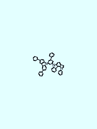 c1ccc(-c2cc(-n3c4ccc(-c5ccccc5)cc4c4cc(-c5ccccc5)ccc43)cc(-n3c4ccccc4c4c5c(ccc43)ccn5-c3ccccc3)c2)cc1